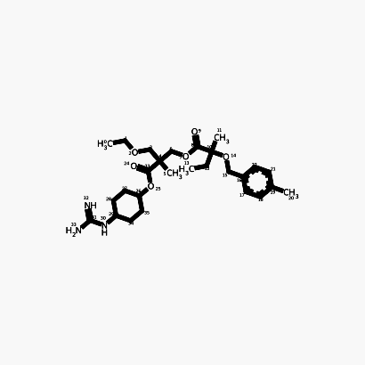 CCOCC(C)(COC(=O)C(C)(CC)OCc1ccc(C)cc1)C(=O)OC1CCC(NC(=N)N)CC1